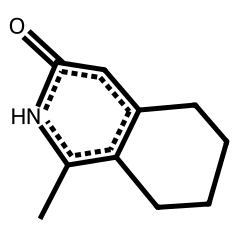 Cc1[nH]c(=O)cc2c1CCCC2